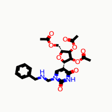 CC(=O)OC[C@H]1O[C@@H](c2cn(CNCc3ccccc3)c(=O)[nH]c2=O)C(OC(C)=O)C1OC(C)=O